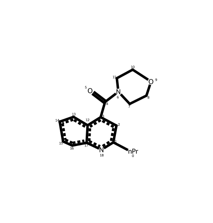 CCCc1cc(C(=O)N2CCOCC2)c2ccccc2n1